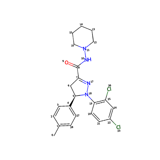 Cc1ccc([C@H]2CC(C(=O)NN3CCCCC3)=NN2c2ccc(Cl)cc2Cl)cc1